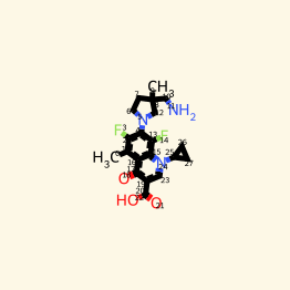 Cc1c(F)c(N2CCC(C)(CN)C2)c(F)c2c1c(=O)c(C(=O)O)cn2C1CC1